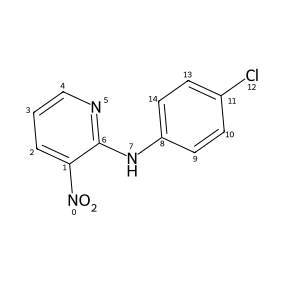 O=[N+]([O-])c1cccnc1Nc1ccc(Cl)cc1